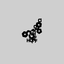 O=C(NC[C@@H](Cc1ccccc1)N1CCC(O)(C(F)(F)F)CC1)C1(c2ccc(Cl)cc2)CCCC1